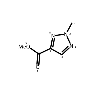 COC(=O)c1cnn(C)n1